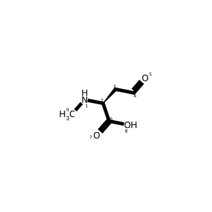 CN[C@@H](CC=O)C(=O)O